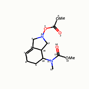 COC(=O)ON1CC2=CCCC(N(C)C(=O)OC)C2C1